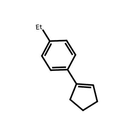 CCc1ccc(C2=CCCC2)cc1